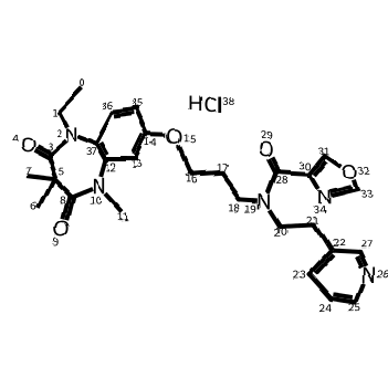 CCN1C(=O)C(C)(C)C(=O)N(C)c2cc(OCCCN(CCc3cccnc3)C(=O)c3cocn3)ccc21.Cl